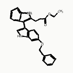 CCOC(=O)CCc1[nH]c2ccccc2c1-c1c[nH]c2cc(OCc3ccccc3)ccc12